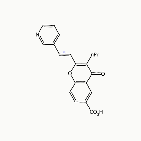 CCCc1c(/C=C/c2cccnc2)oc2ccc(C(=O)O)cc2c1=O